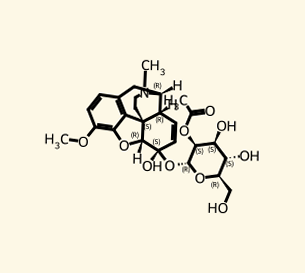 COc1ccc2c3c1O[C@@H]1[C@]34CCN(C)[C@H](C2)[C@@H]4C=C[C@]1(O)O[C@H]1O[C@H](CO)[C@@H](O)[C@H](O)[C@@H]1OC(C)=O